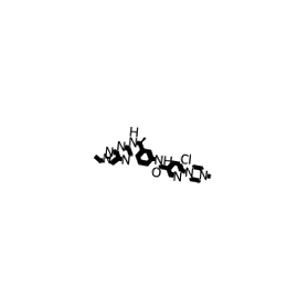 CCn1cc2ncc(N[C@@H](C)c3cccc(NC(=O)c4cnc(N5CCN(C)CC5)c(Cl)c4)c3)nc2n1